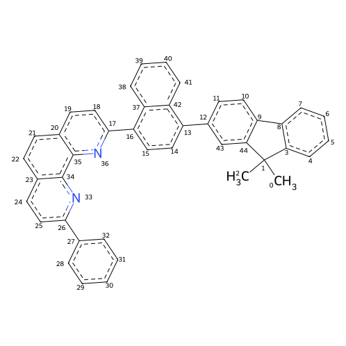 CC1(C)c2ccccc2-c2ccc(-c3ccc(-c4ccc5ccc6ccc(-c7ccccc7)nc6c5n4)c4ccccc34)cc21